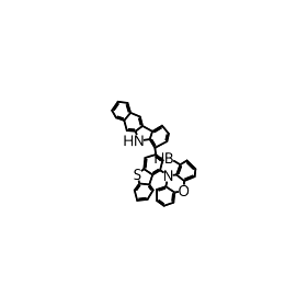 B1c2cccc3c2N(c2ccccc2O3)c2c1c(-c1cccc3c1[nH]c1cc4ccccc4cc13)cc1sc3ccccc3c21